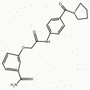 N=C(N)c1cccc(OCC(=O)Nc2ccc(C(=O)N3CCCC3)cc2)c1